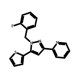 Fc1ccccc1Cn1nc(-c2ccccn2)cc1-c1cccs1